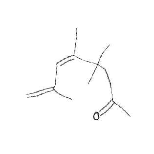 C=C(C)C=C(C)C(C)(C)CC(C)=O